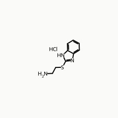 Cl.NCCSc1nc2ccccc2[nH]1